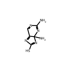 NC1=NC2(N)N=C(S)N=C2C=N1